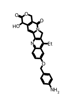 CCc1c2c(nc3ccc(OCc4ccc(N)cc4)cc13)-c1cc3c(c(=O)n1C2)COC(=O)C3O